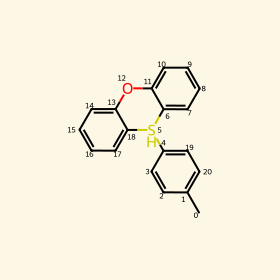 Cc1ccc([SH]2c3ccccc3Oc3ccccc32)cc1